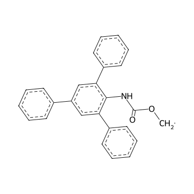 [CH2]OC(=O)Nc1c(-c2ccccc2)cc(-c2ccccc2)cc1-c1ccccc1